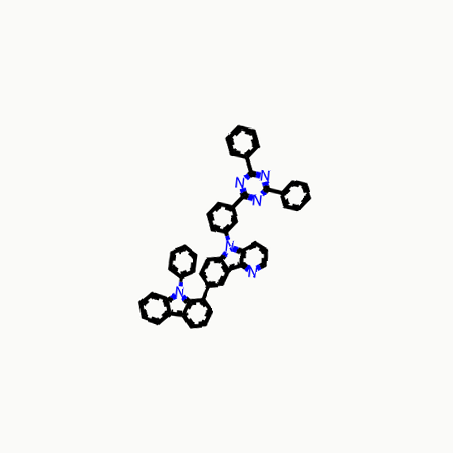 c1ccc(-c2nc(-c3ccccc3)nc(-c3cccc(-n4c5ccc(-c6cccc7c8ccccc8n(-c8ccccc8)c67)cc5c5ncccc54)c3)n2)cc1